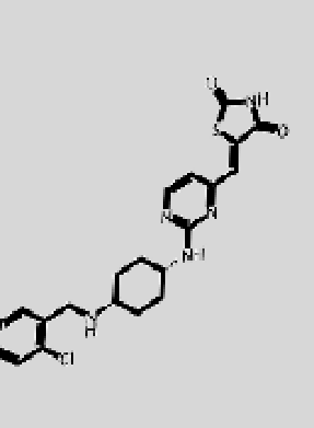 O=C1NC(=O)/C(=C/c2ccnc(N[C@H]3CC[C@H](NCc4cnccc4Cl)CC3)n2)S1